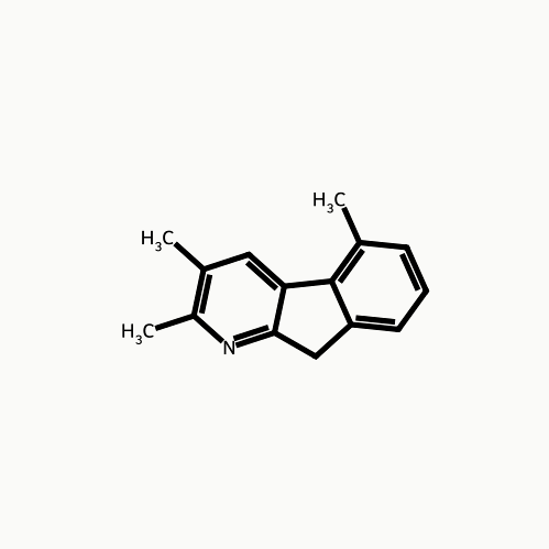 Cc1cc2c(nc1C)Cc1cccc(C)c1-2